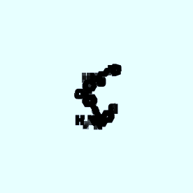 Nc1ncc2ccc(Cl)cc2c1C#Cc1ccc(C(=O)N2CCC(NC(=O)/C=C/CN3CCCC3)CC2)cc1